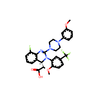 COc1cccc(N2CCN(C3=Nc4c(F)cccc4[C@@H](C(C)C(=O)O)N3c3cc(C(F)(F)F)ccc3OC)CC2)c1